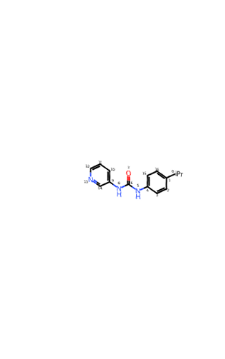 CC(C)c1ccc(NC(=O)Nc2cccnc2)cc1